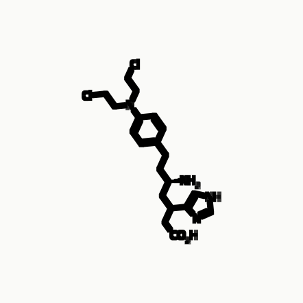 N[C@@H](CCc1ccc(N(CCCl)CCCl)cc1)CC(CC(=O)O)c1c[nH]cn1